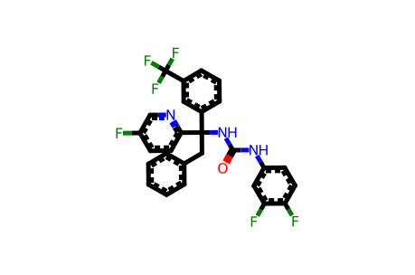 O=C(Nc1ccc(F)c(F)c1)NC(Cc1ccccc1)(c1cccc(C(F)(F)F)c1)c1ccc(F)cn1